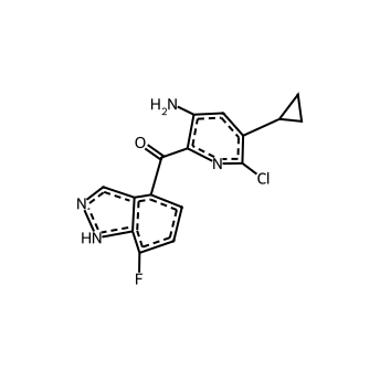 Nc1cc(C2CC2)c(Cl)nc1C(=O)c1ccc(F)c2[nH]ncc12